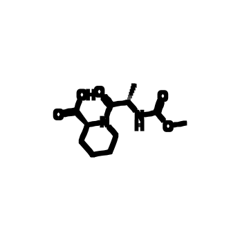 COC(=O)N[C@@H](C)C(=O)N1CCCC[C@H]1C(=O)O